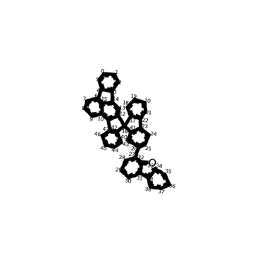 c1ccc2c(c1)-c1cccc3c4c(cc-2c13)C1(c2ccccc2-c2ccc(-c3cccc5c3oc3ccccc35)cc21)c1ccccc1-4